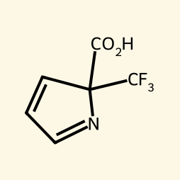 O=C(O)C1(C(F)(F)F)C=CC=N1